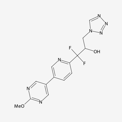 COc1ncc(-c2ccc(C(F)(F)C(O)Cn3cnnn3)nc2)cn1